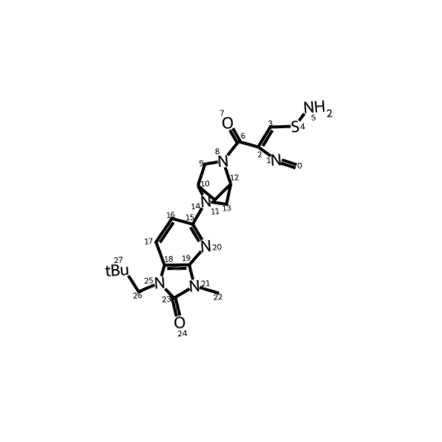 C=N/C(=C\SN)C(=O)N1CC2CC1CN2c1ccc2c(n1)n(C)c(=O)n2CC(C)(C)C